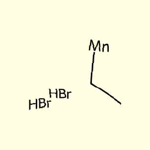 Br.Br.C[CH2][Mn]